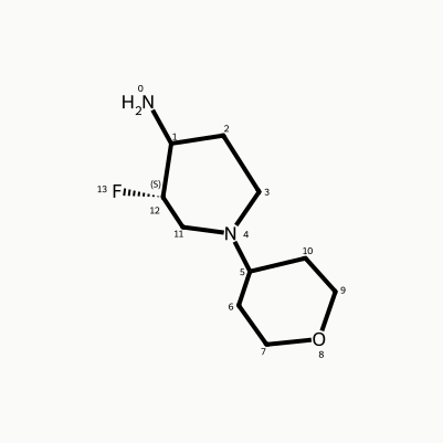 NC1CCN(C2CCOCC2)C[C@@H]1F